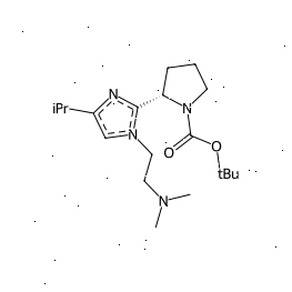 CC(C)c1cn(CCN(C)C)c([C@@H]2CCCN2C(=O)OC(C)(C)C)n1